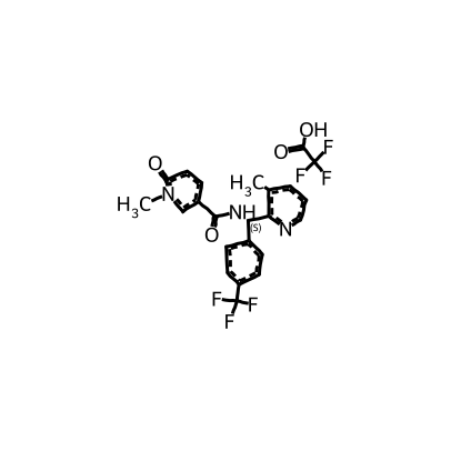 Cc1cccnc1[C@@H](NC(=O)c1ccc(=O)n(C)c1)c1ccc(C(F)(F)F)cc1.O=C(O)C(F)(F)F